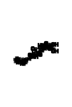 CC1(CCCC(=O)NCCNC(=O)CCc2cn([C@H]3C[C@H](O)[C@@H](CO)O3)c(=O)[nH]c2=O)C=CN=C(c2ccccn2)C1.[Cu]